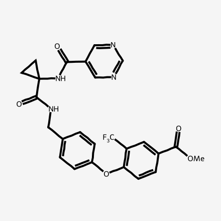 COC(=O)c1ccc(Oc2ccc(CNC(=O)C3(NC(=O)c4cncnc4)CC3)cc2)c(C(F)(F)F)c1